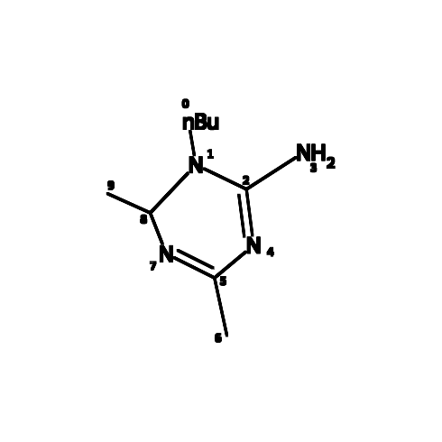 CCCCN1C(N)=NC(C)=NC1C